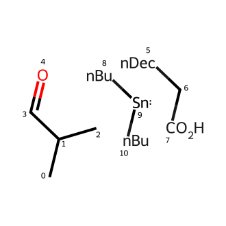 CC(C)C=O.CCCCCCCCCCCC(=O)O.CCC[CH2][Sn][CH2]CCC